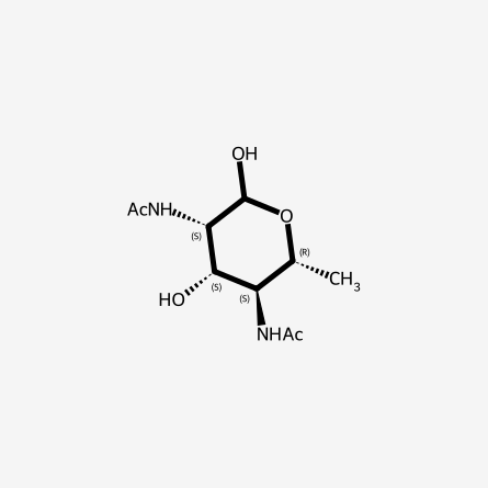 CC(=O)N[C@H]1[C@H](O)[C@H](NC(C)=O)C(O)O[C@@H]1C